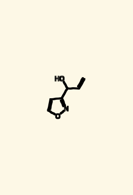 C=CC(O)c1ccon1